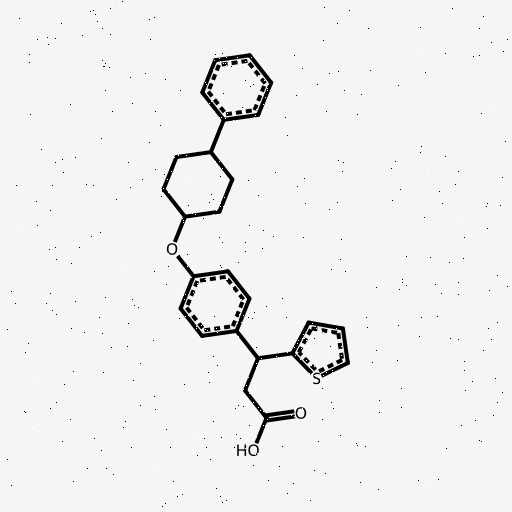 O=C(O)CC(c1ccc(OC2CCC(c3ccccc3)CC2)cc1)c1cccs1